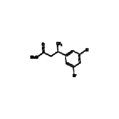 COC(=O)CC(C)c1cc(Cl)cc(Br)c1